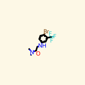 CN(C)C(=O)CNc1ccc(Br)c(C(F)(F)F)c1